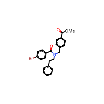 COC(=O)c1ccc(CN(CCc2ccccc2)C(=O)c2ccc(Br)cc2)cc1